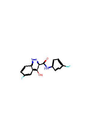 O=C(Nc1ccc(F)cc1)c1nnc2ccc(F)cc2c1O